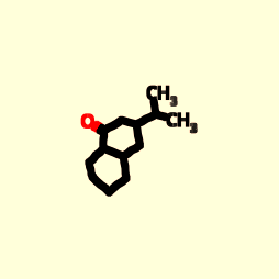 CC(C)C1CC(=O)C2CCCCC2C1